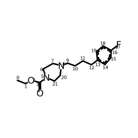 CCOC(=O)N1CCN(CCCCc2ccc(F)cc2)CC1